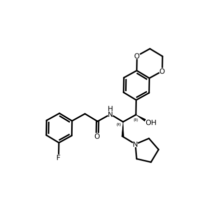 O=C(Cc1cccc(F)c1)N[C@H](CN1CCCC1)[C@H](O)c1ccc2c(c1)OCCO2